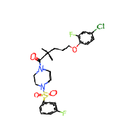 CC(C)(CCCOc1ccc(Cl)cc1F)C(=O)N1CCN(S(=O)(=O)c2cccc(F)c2)CC1